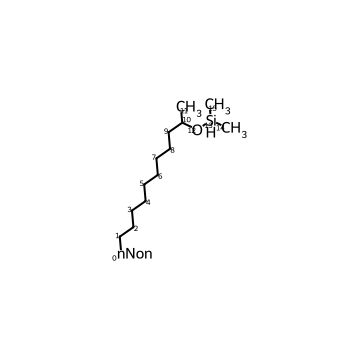 CCCCCCCCCCCCCCCCCCC(C)O[SiH](C)C